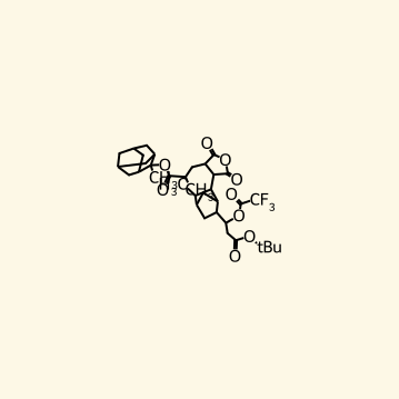 CC(CC1C(=O)OC(=O)C1C1C(C)C2CC(C(CC(=O)OC(C)(C)C)OC(=O)C(F)(F)F)C1C2)C(=O)OC1(C)C2CC3CC(C2)CC1C3